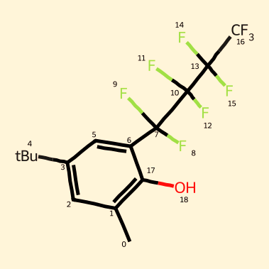 Cc1cc(C(C)(C)C)cc(C(F)(F)C(F)(F)C(F)(F)C(F)(F)F)c1O